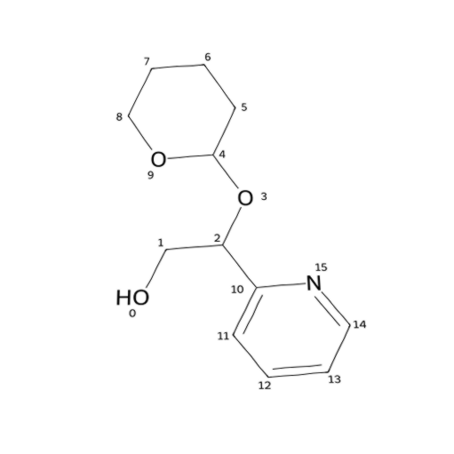 OCC(OC1CCCCO1)c1ccccn1